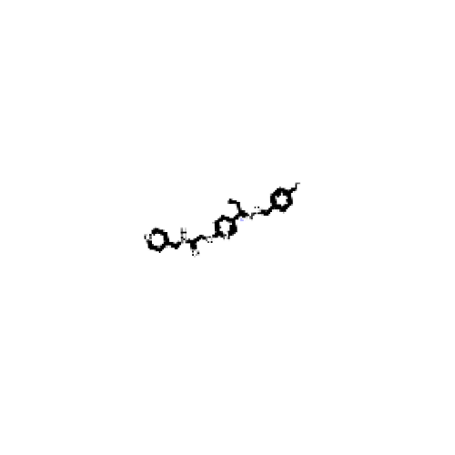 CC/C(=N\OCc1ccc(F)cc1)c1ccc(OCC(=O)NCC2CCOCC2)nc1